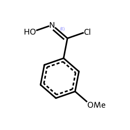 COc1cccc(/C(Cl)=N\O)c1